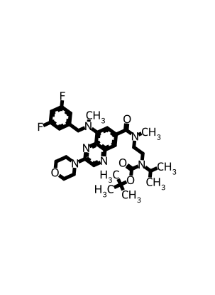 CC(C)N(CCN(C)C(=O)c1cc(N(C)Cc2cc(F)cc(F)c2)c2nc(N3CCOCC3)cnc2c1)C(=O)OC(C)(C)C